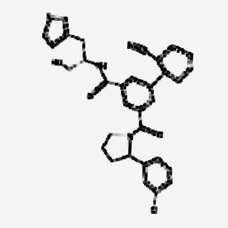 N#Cc1ccccc1-c1cc(C(=O)N[C@H](CO)Cc2ccsc2)cc(C(=O)N2CCCC2c2cccc(Cl)c2)c1